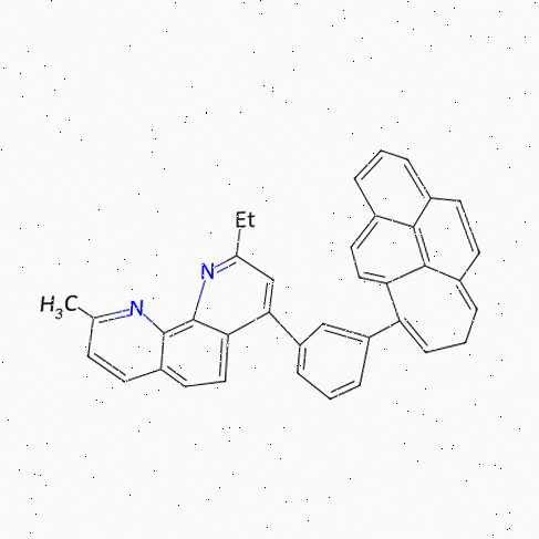 CCc1cc(-c2cccc(C3=CCC=c4ccc5cccc6ccc3c4c65)c2)c2ccc3ccc(C)nc3c2n1